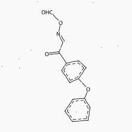 O=CO/N=C/C(=O)c1ccc(Oc2ccccc2)cc1